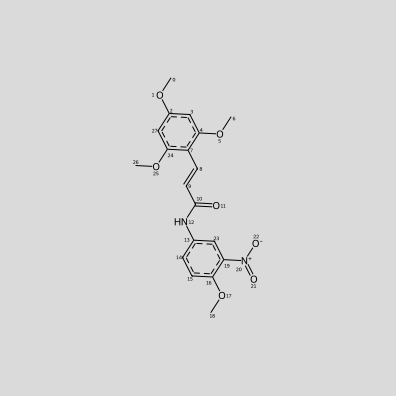 COc1cc(OC)c(C=CC(=O)Nc2ccc(OC)c([N+](=O)[O-])c2)c(OC)c1